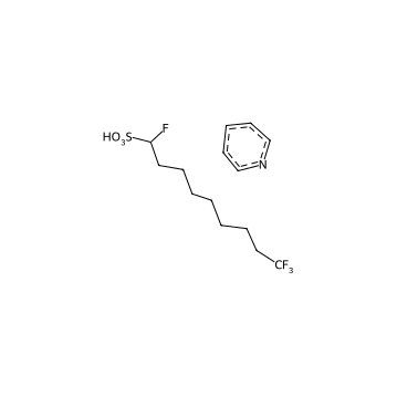 O=S(=O)(O)C(F)CCCCCCCC(F)(F)F.c1ccncc1